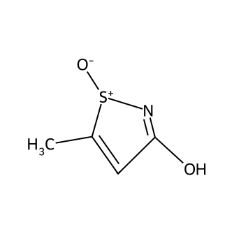 Cc1cc(O)n[s+]1[O-]